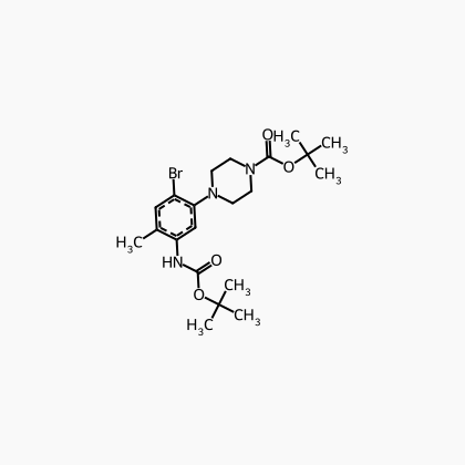 Cc1cc(Br)c(N2CCN(C(=O)OC(C)(C)C)CC2)cc1NC(=O)OC(C)(C)C